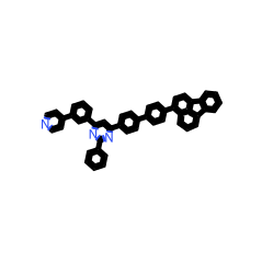 c1ccc(-c2nc(-c3ccc(-c4ccc(-c5ccc6c7c(cccc57)-c5ccccc5-6)cc4)cc3)cc(-c3cccc(-c4ccncc4)c3)n2)cc1